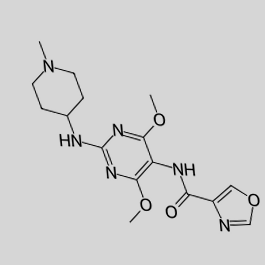 COc1nc(NC2CCN(C)CC2)nc(OC)c1NC(=O)c1cocn1